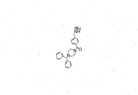 CC(C)(C)NCc1ccc(C(=O)N2CCN(C(c3ccccc3)c3ccccc3)CC2)cc1